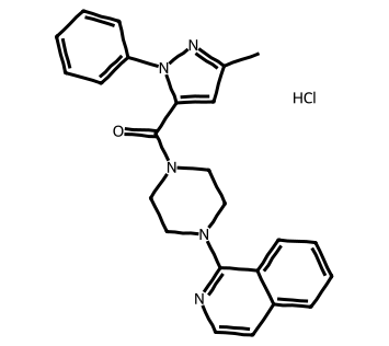 Cc1cc(C(=O)N2CCN(c3nccc4ccccc34)CC2)n(-c2ccccc2)n1.Cl